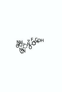 C[C@](O)(c1ccc(C(=O)N(C2CC2)[C@H]2CC[C@](COC(N)=O)(c3ncccn3)CC2)cc1)C(F)(F)F